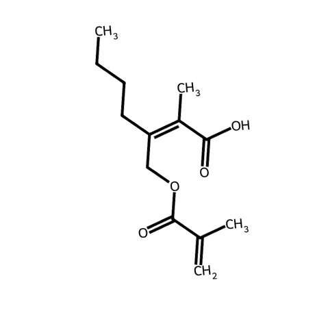 C=C(C)C(=O)OCC(CCCC)=C(C)C(=O)O